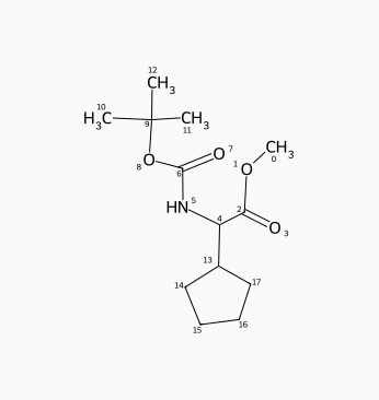 COC(=O)C(NC(=O)OC(C)(C)C)C1CCCC1